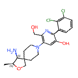 C[C@@H]1OCC2(CCN(c3cc(O)c(-c4cccc(Cl)c4Cl)nc3CO)CC2)[C@@H]1N